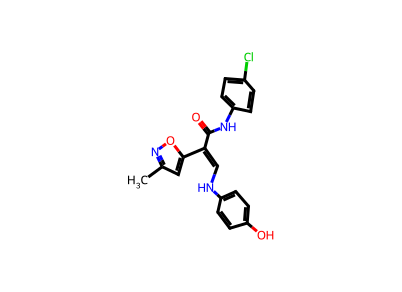 Cc1cc(/C(=C\Nc2ccc(O)cc2)C(=O)Nc2ccc(Cl)cc2)on1